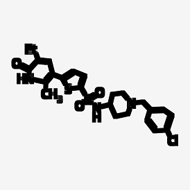 CCc1cc(-c2ccc(S(=O)(=O)NC3CCN(Cc4ccc(Cl)cc4)CC3)s2)c(C)[nH]c1=O